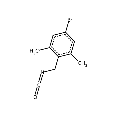 Cc1cc(Br)cc(C)c1CN=C=O